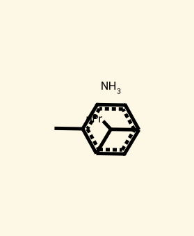 CCCC1c2ccc(C)c1c2.N